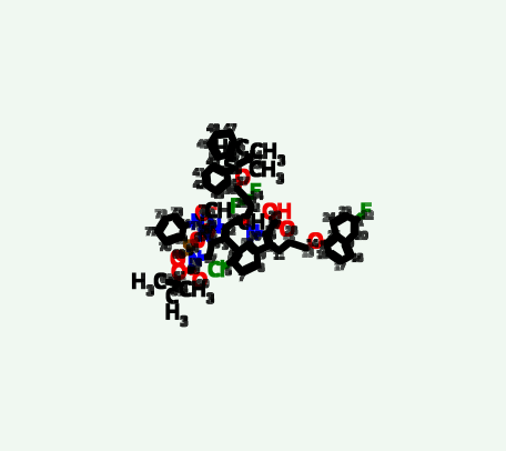 CCc1c(-c2c(Cl)ccc3c(CCCOc4cccc5cc(F)ccc45)c(C(=O)O)n(CCC(F)(F)CO[Si](c4ccccc4)(c4ccccc4)C(C)(C)C)c23)c(CN(C(=O)OC(C)(C)C)S(=O)(=O)c2ccccc2[N+](=O)[O-])nn1C